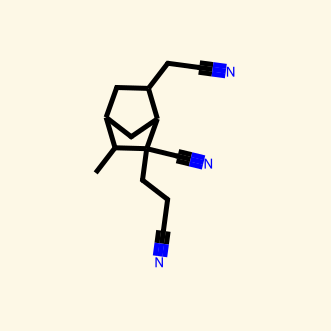 CC1C2CC(CC#N)C(C2)C1(C#N)CCC#N